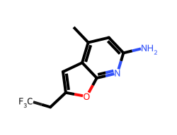 Cc1cc(N)nc2oc(CC(F)(F)F)cc12